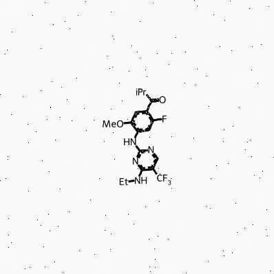 CCNc1nc(Nc2cc(F)c(C(=O)C(C)C)cc2OC)ncc1C(F)(F)F